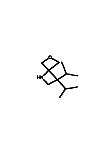 CC(C)C1(C(C)C)CNC12COC2